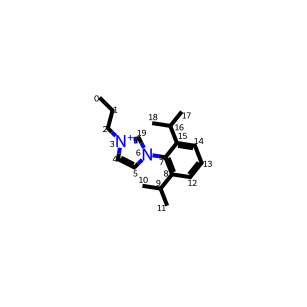 CCC[n+]1ccn(-c2c(C(C)C)cccc2C(C)C)c1